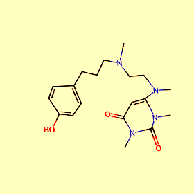 CN(CCCc1ccc(O)cc1)CCN(C)c1cc(=O)n(C)c(=O)n1C